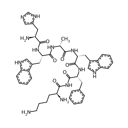 C[C@@H](NC(=O)[C@H](Cc1c[nH]c2ccccc12)NC(=O)[C@@H](N)Cc1cnc[nH]1)C(=O)N[C@H](Cc1c[nH]c2ccccc12)C(=O)N[C@H](Cc1ccccc1)C(=O)NC(=O)[C@@H](N)CCCCN